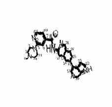 CN1CCN(c2cc(C(=O)Nc3cc4cc(-c5cncc6[nH]ccc56)ccc4cn3)ccn2)CC1